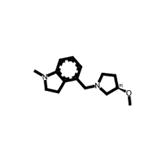 CO[C@@H]1CCN(Cc2cccc3c2CCN3C)C1